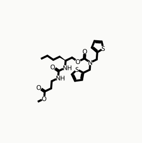 CCCC[C@@H](COC(=O)N(Cc1cccs1)Cc1cccs1)NC(=O)NCCC(=O)OC